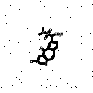 CN(C)S(=O)(=O)C(C(=O)O)c1ccc2ccc3ncc(Cl)cc3c(=O)c2c1